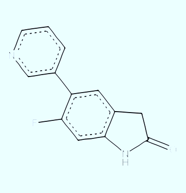 O=C1Cc2cc(-c3cccnc3)c(F)cc2N1